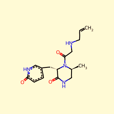 C=CCNCC(=O)N1[C@@H](C)CNC(=O)[C@@H]1Cc1ccc(=O)[nH]c1